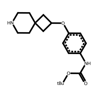 CC(C)(C)OC(=O)Nc1ccc(OC2CC3(CCNCC3)C2)cc1